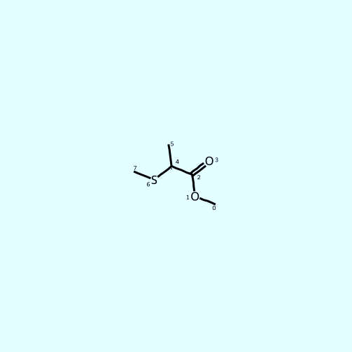 COC(=O)[C](C)SC